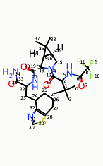 CC(C)(C)C(NC(=O)C(F)(F)F)C(=O)N1C[C@H]2[C@@H]([C@H]1C(=O)NC(CC1CCCc3scnc31)C(N)=O)C2(C)C